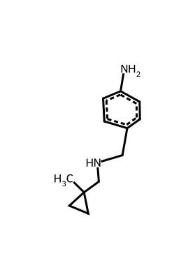 CC1(CNCc2ccc(N)cc2)CC1